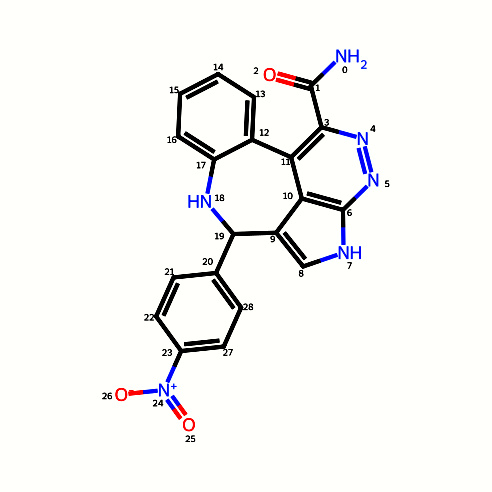 NC(=O)c1nnc2[nH]cc3c2c1-c1ccccc1NC3c1ccc([N+](=O)[O-])cc1